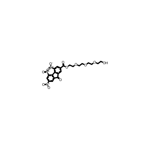 O=C(OCCOCCOCCOCCO)c1cc2c(c([N+](=O)[O-])c1)-c1c(cc([N+](=O)[O-])cc1[N+](=O)[O-])C2=O